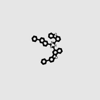 c1ccc(-c2ccc3cc(-c4nc(-c5cc6c7cc(-c8ccccc8)ccc7oc6c6ccccc56)nc(-c5cccc6oc7ccccc7c56)n4)ccc3c2)cc1